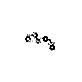 c1ccc2[nH]c(Cc3ccc(Oc4ncsc4-c4ccnc(NC5CCCNC5)n4)cc3)nc2c1